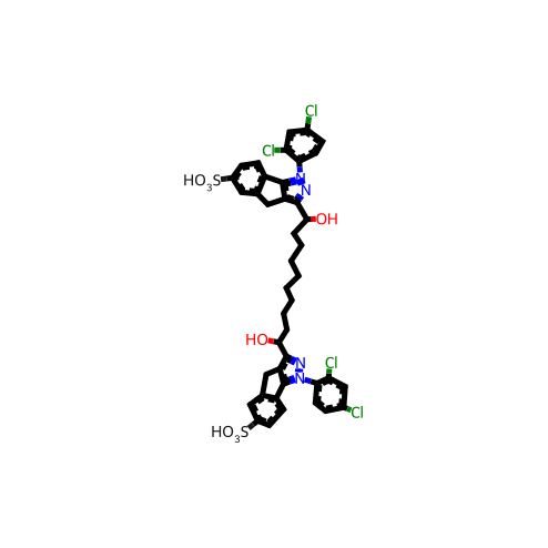 O=S(=O)(O)c1ccc2c(c1)Cc1c(C(O)CCCCCCCCC(O)c3nn(-c4ccc(Cl)cc4Cl)c4c3Cc3cc(S(=O)(=O)O)ccc3-4)nn(-c3ccc(Cl)cc3Cl)c1-2